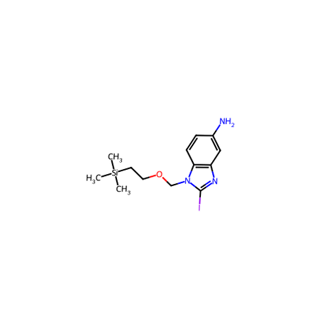 C[Si](C)(C)CCOCn1c(I)nc2cc(N)ccc21